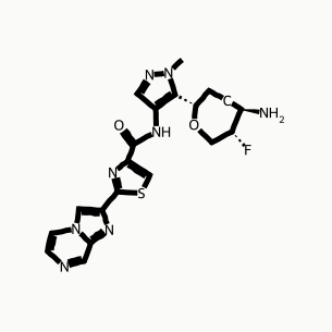 Cn1ncc(NC(=O)c2csc(-c3cn4ccncc4n3)n2)c1[C@@H]1CC[C@@H](N)[C@H](F)CO1